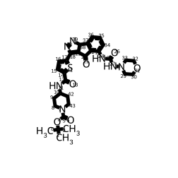 CC(C)(C)OC(=O)N1CCC(NC(=O)c2ccc(C3=C4C(=O)c5c(NC(=O)NN6CCOCC6)cccc5C4N=N3)s2)CC1